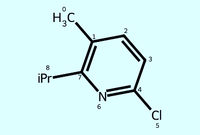 Cc1ccc(Cl)nc1C(C)C